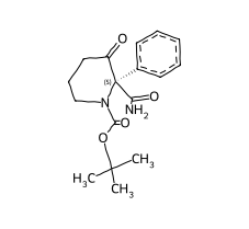 CC(C)(C)OC(=O)N1CCCC(=O)[C@]1(C(N)=O)c1ccccc1